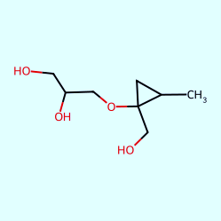 CC1CC1(CO)OCC(O)CO